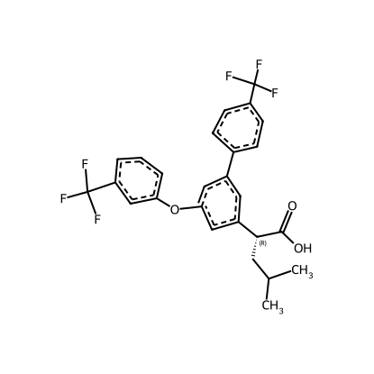 CC(C)C[C@@H](C(=O)O)c1cc(Oc2cccc(C(F)(F)F)c2)cc(-c2ccc(C(F)(F)F)cc2)c1